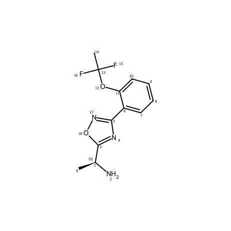 C[C@H](N)c1nc(-c2ccccc2OC(C)(F)F)no1